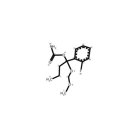 CCCC(OCOC)(OC(N)=O)c1ccccc1F